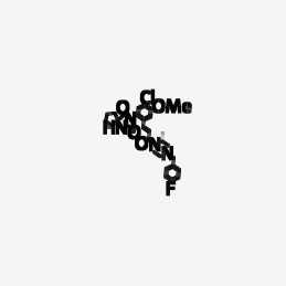 COc1cc(/C=C/C(=O)N2CCN(Cc3ccc(F)cc3)C[C@H]2C)c(N2C(=O)NC3(CCCC3)C2=O)cc1Cl